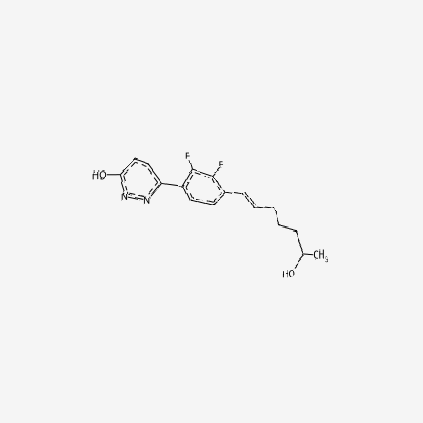 CC(O)CCC/C=C/c1ccc(-c2ccc(O)nn2)c(F)c1F